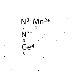 [Ge+4].[Mn+2].[N-3].[N-3]